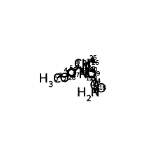 CCOc1ccc(C(C)c2nc3cc(COC(N)=O)ccc3n2CC2CC2)cc1